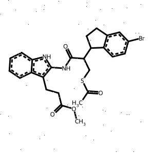 COC(=O)CCc1c(NC(=O)C(CSC(C)=O)C2CCc3cc(Br)ccc32)[nH]c2ccccc12